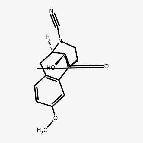 COc1ccc2c(c1)[C@]13CCN(C#N)[C@H](C2)[C@]1(O)CCC(=O)C3